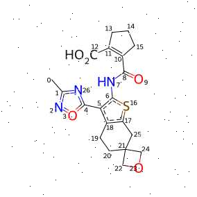 Cc1noc(-c2c(NC(=O)C3=C(C(=O)O)CCC3)sc3c2CCC2(COC2)C3)n1